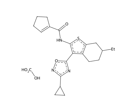 CCC1CCc2c(sc(NC(=O)C3=CCCC3)c2-c2nc(C3CC3)no2)C1.O=C(O)O